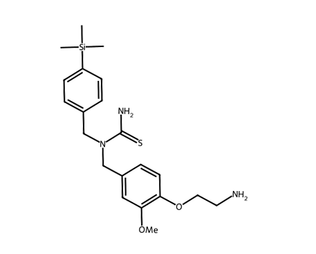 COc1cc(CN(Cc2ccc([Si](C)(C)C)cc2)C(N)=S)ccc1OCCN